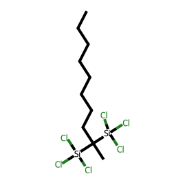 CCCCCCCCC(C)([Si](Cl)(Cl)Cl)[Si](Cl)(Cl)Cl